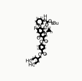 C#CCC(CC#C)COC(=O)c1ccc(OC(=O)c2cn(C3CC3)c3c(Cl)c(N4CCCC[C@@H](NC(=O)OC(C)(C)C)C4)c(F)cc3c2=O)cc1